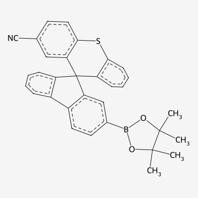 CC1(C)OB(c2ccc3c(c2)C2(c4ccccc4Sc4ccc(C#N)cc42)c2ccccc2-3)OC1(C)C